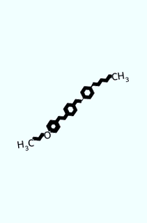 CCCCCC[C@H]1CC[C@H](CCC2CC=C(CCc3ccc(OCCCC)cc3)CC2)CC1